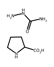 NNC(N)=O.O=C(O)C1CCCN1